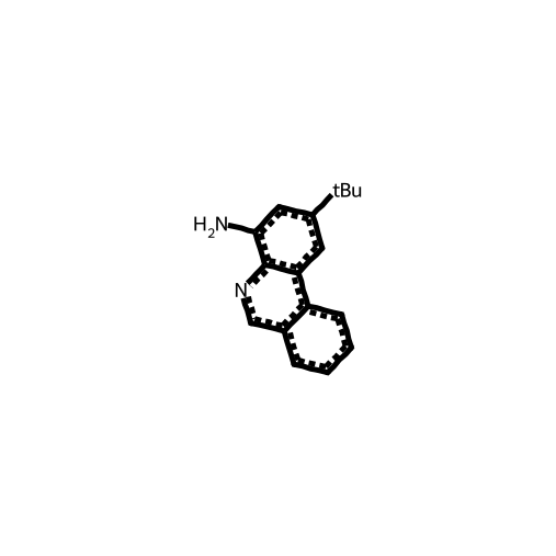 CC(C)(C)c1cc(N)c2ncc3ccccc3c2c1